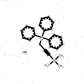 Br.C[Si](C)(C)C#CC[PH](c1ccccc1)(c1ccccc1)c1ccccc1